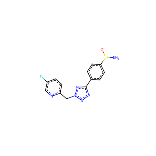 N[S+]([O-])c1ccc(-c2nnn(Cc3ccc(F)cn3)n2)cc1